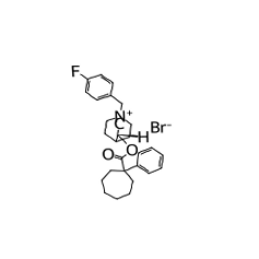 O=C(O[C@H]1C[N+]2(Cc3ccc(F)cc3)CCC1CC2)C1(c2ccccc2)CCCCCC1.[Br-]